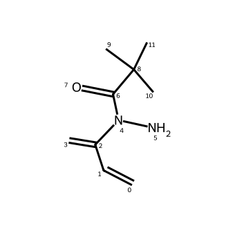 C=CC(=C)N(N)C(=O)C(C)(C)C